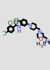 CC(Nc1cc(N2CCC(CN3CCOC(CN(C)C)C3)CC2)ccc1Cl)c1ccc(Cl)cc1Cl